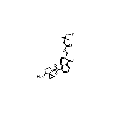 CC(C)CC(C)(C)CC(=O)OCn1ccc2c(S(=O)(=O)N3CCC(N)C34CC4)cccc2c1=O